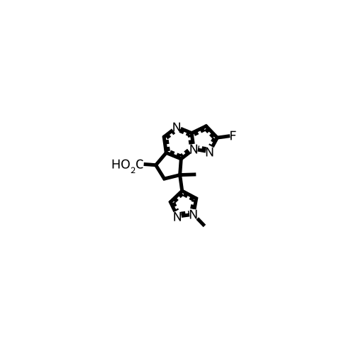 Cn1cc(C2(C)CC(C(=O)O)c3cnc4cc(F)nn4c32)cn1